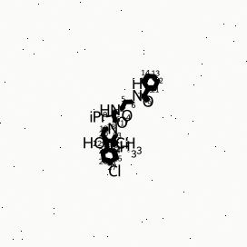 CC(C)[C@@H](NC(=O)CCNC(=O)c1ccccc1)C(=O)N1CC[C@](O)(c2ccc(Cl)cc2)C(C)(C)C1